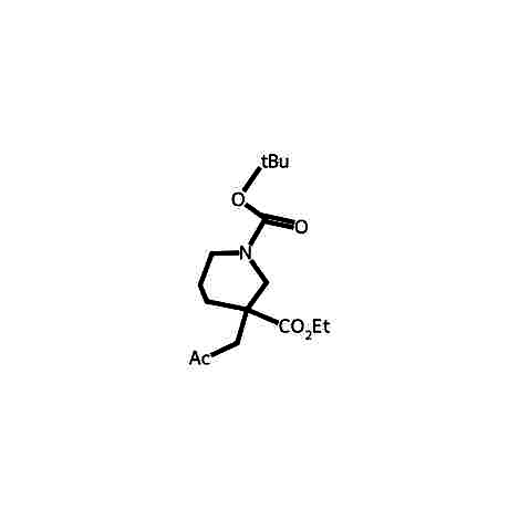 CCOC(=O)C1(CC(C)=O)CCCN(C(=O)OC(C)(C)C)C1